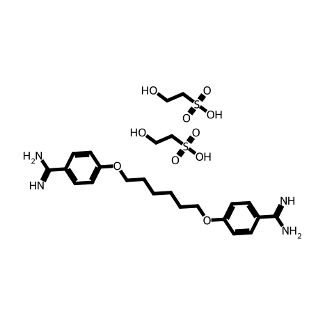 N=C(N)c1ccc(OCCCCCCOc2ccc(C(=N)N)cc2)cc1.O=S(=O)(O)CCO.O=S(=O)(O)CCO